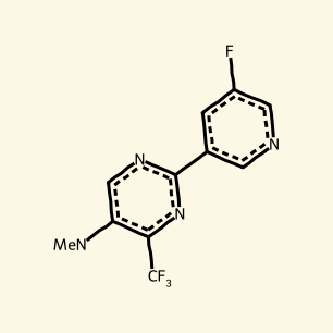 CNc1cnc(-c2cncc(F)c2)nc1C(F)(F)F